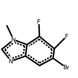 Cn1cnc2cc(Br)c(F)c(F)c21